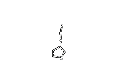 S=C=S.c1ccsc1